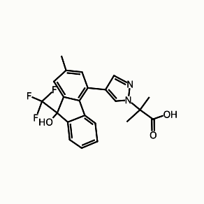 Cc1cc(-c2cnn(C(C)(C)C(=O)O)c2)c2c(c1)C(O)(C(F)(F)F)c1ccccc1-2